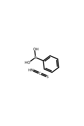 N=C=S.OB(O)c1ccccc1